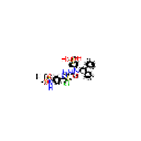 CS(=O)(=O)Nc1ccc(-c2nc(NC(=O)N(CCC(c3ccccc3)c3ccccc3)C3CCS(O)(O)CC3)sc2Cl)cc1